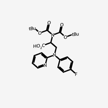 CC(C)(C)OC(=O)N(C(=O)OC(C)(C)C)C(CN(c1ccc(F)cc1)c1ccccn1)C(=O)O